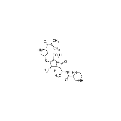 C[C@@H](NC(=O)[C@H]1CNCCN1)[C@H]1C(=O)N2C(C(=O)O)=C(S[C@@H]3CN[C@H](C(=O)N(C)C)C3)[C@H](C)[C@H]12